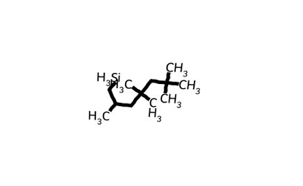 CC(C[SiH3])CC(C)(C)CC(C)(C)C